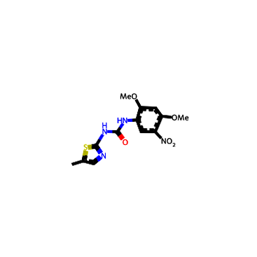 COc1cc(OC)c([N+](=O)[O-])cc1NC(=O)Nc1ncc(C)s1